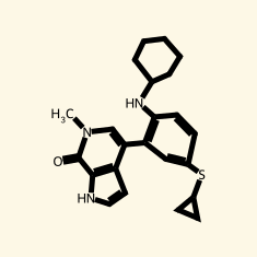 Cn1cc(-c2cc(SC3CC3)ccc2NC2CCCCC2)c2cc[nH]c2c1=O